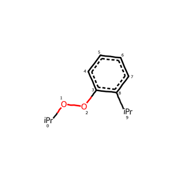 CC(C)OOc1ccccc1C(C)C